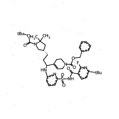 CC(C)(C)OC(=O)N1C[C@@H](CCC(Nc2cccc(S(=O)(=O)NC(=O)c3ccc(C(C)(C)C)nc3F)n2)C2=CCN(C(=O)OCc3ccccc3)CC2)CC1(C)C